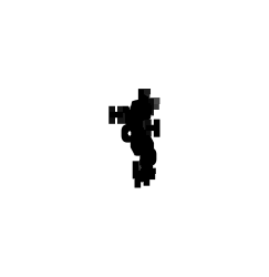 O=C(Nc1c[nH]c2cc(F)c(F)cc12)c1ccc(OCCC(F)(F)F)cc1